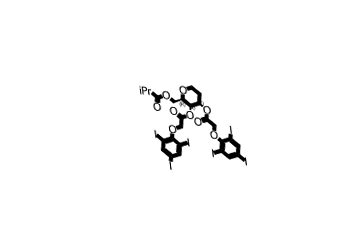 CC(C)C(=O)OC[C@H]1OCC[C@@H](OC(=O)COc2c(I)cc(I)cc2I)[C@@H]1OC(=O)COc1c(I)cc(I)cc1I